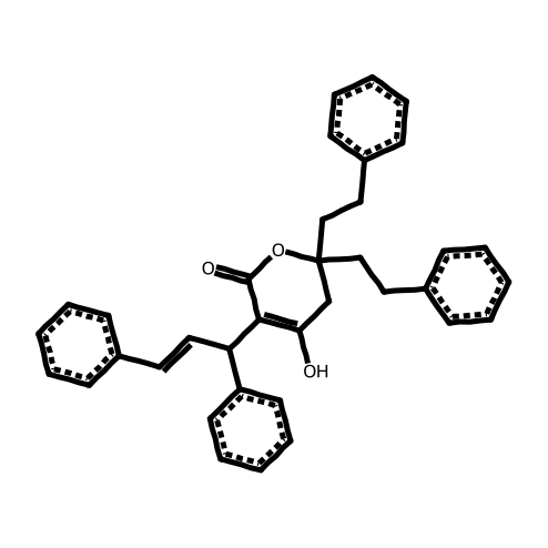 O=C1OC(CCc2ccccc2)(CCc2ccccc2)CC(O)=C1C(C=Cc1ccccc1)c1ccccc1